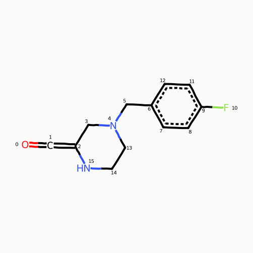 O=C=C1CN(Cc2ccc(F)cc2)CCN1